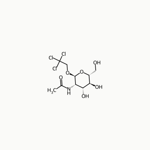 CC(=O)N[C@@H]1[C@@H](OCC(Cl)(Cl)Cl)O[C@H](CO)[C@@H](O)[C@@H]1O